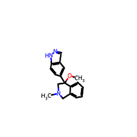 COC1(c2ccc3[nH]ncc3c2)CN(C)Cc2ccccc21